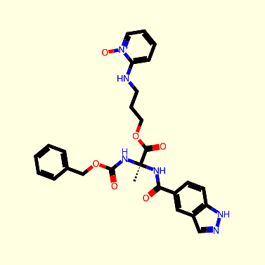 C[C@@](NC(=O)OCc1ccccc1)(NC(=O)c1ccc2[nH]ncc2c1)C(=O)OCCCNc1cccc[n+]1[O-]